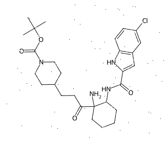 CC(C)(C)OC(=O)N1CCC(CCC(=O)C2(N)CCCCC2NC(=O)c2cc3cc(Cl)ccc3[nH]2)CC1